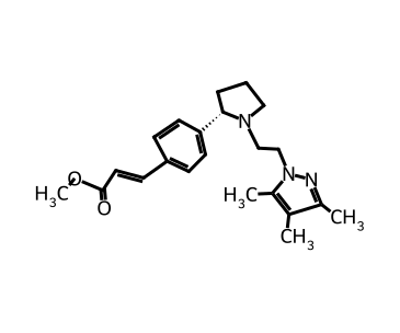 COC(=O)C=Cc1ccc([C@@H]2CCCN2CCn2nc(C)c(C)c2C)cc1